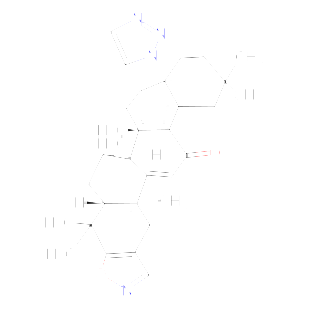 CC1(C)CC[C@]2(n3ccnn3)CC[C@]3(C)[C@H](C(=O)C=C4[C@@]5(C)Cc6cnoc6C(C)(C)[C@@H]5CC[C@]43C)[C@@H]2C1